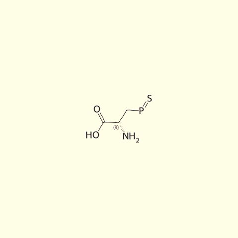 N[C@@H](CP=S)C(=O)O